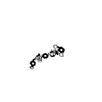 C=C(CNCc1ccc(OC)cc1)Nc1ccc(N2CCN(C(=C)Nc3c(Cl)cccc3Cl)CC2)cc1